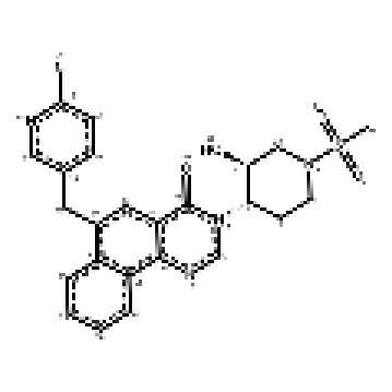 CS(=O)(=O)N1CC[C@H](n2cnc3c(cc(Cc4ccc(Cl)nc4)c4ccccc43)c2=O)[C@@H](O)C1